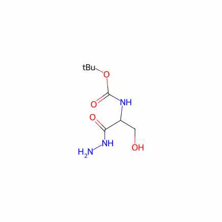 CC(C)(C)OC(=O)NC(CO)C(=O)NN